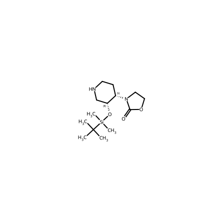 CC(C)(C)[Si](C)(C)O[C@@H]1CNCC[C@@H]1N1CCOC1=O